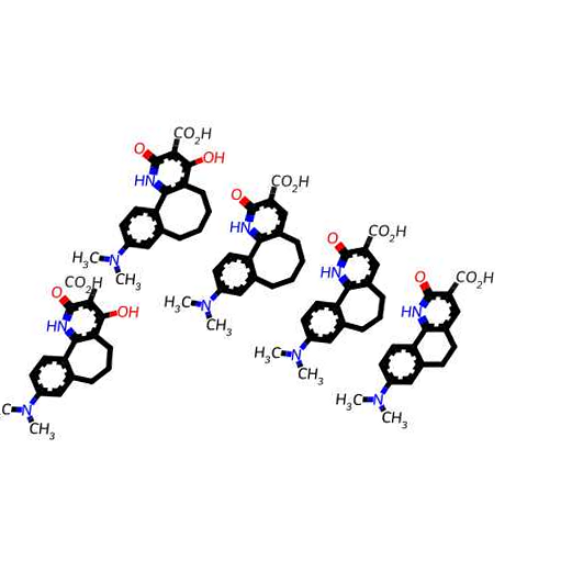 CN(C)c1ccc2c(c1)CCCCc1c-2[nH]c(=O)c(C(=O)O)c1O.CN(C)c1ccc2c(c1)CCCCc1cc(C(=O)O)c(=O)[nH]c1-2.CN(C)c1ccc2c(c1)CCCc1c-2[nH]c(=O)c(C(=O)O)c1O.CN(C)c1ccc2c(c1)CCCc1cc(C(=O)O)c(=O)[nH]c1-2.CN(C)c1ccc2c(c1)CCc1cc(C(=O)O)c(=O)[nH]c1-2